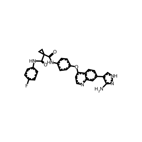 Nc1n[nH]cc1-c1ccc2c(Oc3ccc(NC(=O)C4(C(=O)Nc5ccc(F)cc5)CC4)cc3)ccnc2c1